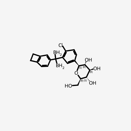 BC(B)(c1ccc2c(c1)CC2)c1cc([C@@H]2O[C@H](CO)[C@@H](O)[C@H](O)[C@H]2O)ccc1Cl